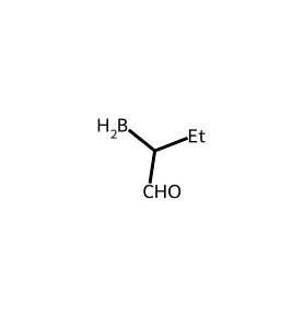 BC(C=O)CC